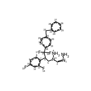 N/N=C\N(N)CC(c1ccc(F)cc1F)C(F)(F)c1ccc(Cc2ccccc2)cn1